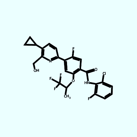 CC(Oc1cc(-c2ccc(C3CC3)c(CO)n2)c(F)cc1C(=O)Nc1c(F)cccc1Cl)C(F)(F)F